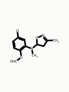 CC1=NOC(N(C)c2cc(Cl)ccc2OC=O)C1